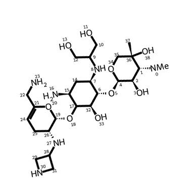 CN[C@@H]1[C@@H](O)[C@@H](O[C@H]2[C@H](NC(CO)CO)C[C@H](N)C(O[C@H]3OC(CN)=CC[C@H]3NC3CNC3)[C@@H]2O)OC[C@]1(C)O